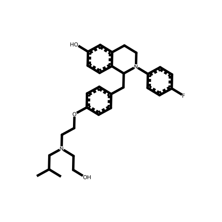 CC(C)CN(CCO)CCOc1ccc(CC2c3ccc(O)cc3CCN2c2ccc(F)cc2)cc1